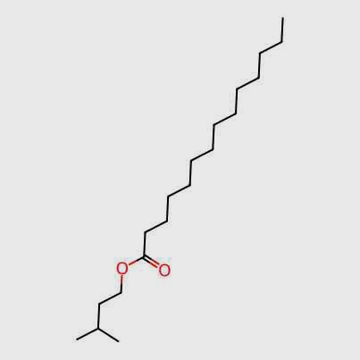 CCCCCCCCCCCCCC(=O)OCCC(C)C